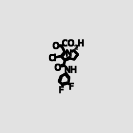 O=C(O)C(=O)c1c(Cl)c(C(=O)Nc2ccc(F)c(F)c2)c2n1CCC2